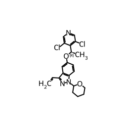 C=Cc1nn(C2CCCCO2)c2ccc(O[C@H](C)c3c(Cl)cncc3Cl)cc12